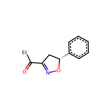 CCC(=O)C1=NO[C@@H](c2ccccc2)C1